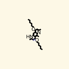 CCCCCCO/C(=C/C(C)=N)c1ccc2c(OCCCCCC)cc(C)nc2c1C